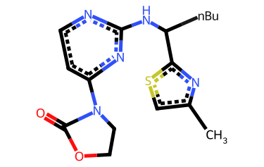 CCCCC(Nc1nccc(N2CCOC2=O)n1)c1nc(C)cs1